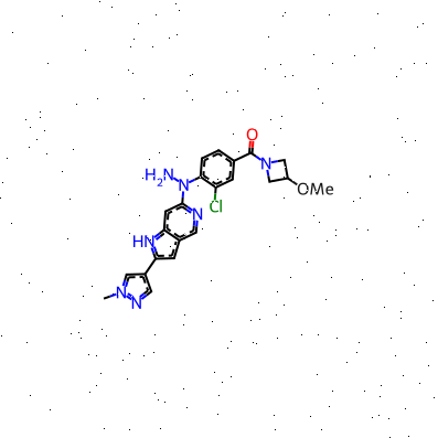 COC1CN(C(=O)c2ccc(N(N)c3cc4[nH]c(-c5cnn(C)c5)cc4cn3)c(Cl)c2)C1